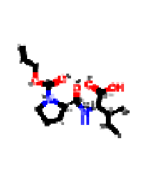 C=CCOC(=O)N1CCC[C@H]1C(=O)N[C@H](C(=O)O)[C@@H](C)CC